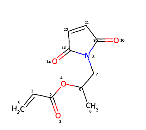 C=CC(=O)OC(C)CN1C(=O)C=CC1=O